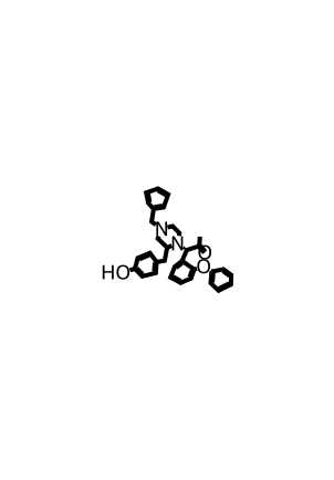 CC(=O)[C@@H](c1ccccc1Oc1ccccc1)N1CCN(Cc2ccccc2)CC1Cc1ccc(O)cc1